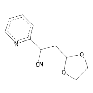 N#CC(CC1OCCO1)c1ccccn1